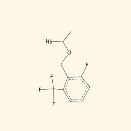 CC(S)OCc1c(F)cccc1C(F)(F)F